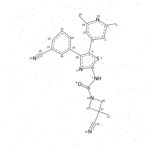 Cc1cc(-c2sc(NC(=O)N3CC(C)(C#N)C3)nc2-c2cccc(C#N)c2)cc(C)n1